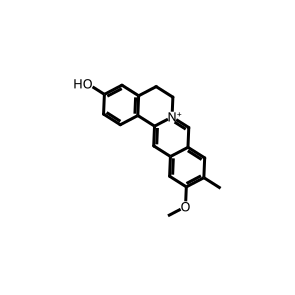 COc1cc2cc3[n+](cc2cc1C)CCc1cc(O)ccc1-3